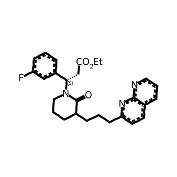 CCOC(=O)C[C@@H](c1cccc(F)c1)N1CCCC(CCCc2ccc3cccnc3n2)C1=O